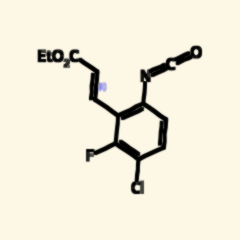 CCOC(=O)/C=C/c1c(N=C=O)ccc(Cl)c1F